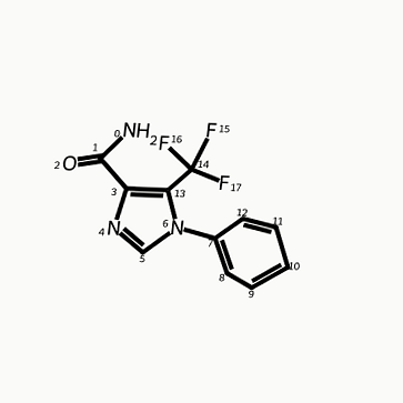 NC(=O)c1ncn(-c2ccccc2)c1C(F)(F)F